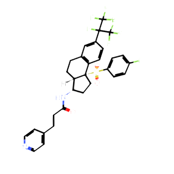 O=C(CCc1ccncc1)N[C@@H]1CC[C@@]2(S(=O)(=O)c3ccc(F)cc3)c3ccc(C(F)(C(F)(F)F)C(F)(F)F)cc3CC[C@@H]12